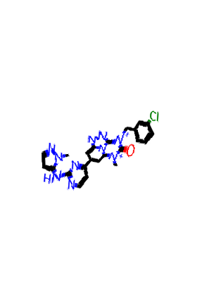 Cn1nccc1Nc1nccc(-c2cc3nnc4n3c(c2)[n+](C)c(=O)[n+]4Cc2cccc(Cl)c2)n1